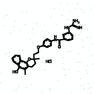 Cc1c2c(c3ccccc3c1O)OC(C)(CCOc1ccc(NC(=O)c3cccc(NC(=N)N)c3)cc1)CC2.Cl